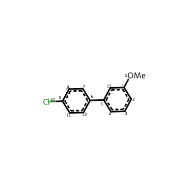 COc1cccc(-c2c[c]c(Cl)cc2)c1